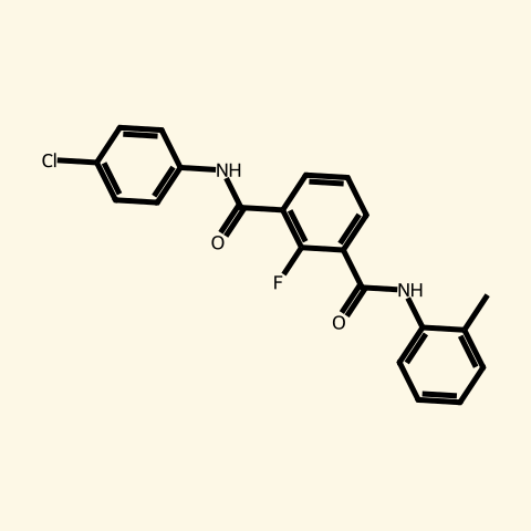 Cc1ccccc1NC(=O)c1cccc(C(=O)Nc2ccc(Cl)cc2)c1F